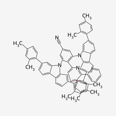 Cc1ccc(-c2ccc3c4ccc(-c5ccc(C)cc5C)cc4n(-c4cc(C#N)cc(-n5c6cc(-c7ccc(C)cc7C)ccc6c6ccc(-c7ccc(C)cc7C)cc65)c4-c4cccc(-c5ccccc5)n4)c3c2)c(C)c1